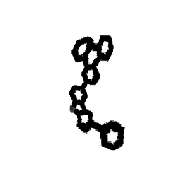 c1ccc(-c2ccc3oc4ccc(-c5ccc6c7ccccc7c7ccccc7c6c5)cc4c3c2)cc1